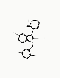 O=C(O)c1c(-c2ccc[nH]c2=O)c2cc(Br)ccc2n1Cc1cc(F)ccc1F